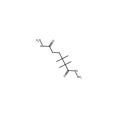 CC(C)(CCC(=O)NN)C(C)(C)C(=O)NN